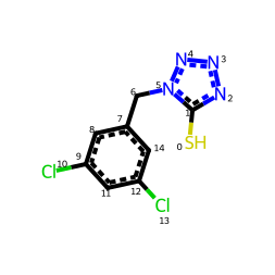 Sc1nnnn1Cc1cc(Cl)cc(Cl)c1